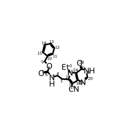 CCn1c(CCNC(=O)OCc2ccccc2)c(C#N)c2nc[nH]c(=O)c21